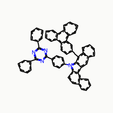 c1ccc(-c2nc(-c3ccccc3)nc(-c3ccc(-n4c5ccc6ccccc6c5c5cc6ccccc6c(-c6ccc7c8ccccc8c8ccccc8c7c6)c54)cc3)n2)cc1